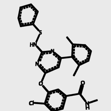 CNC(=O)c1ccc(Cl)c(Oc2cc(-c3c(C)cccc3C)nc(NSc3ccccc3)n2)c1